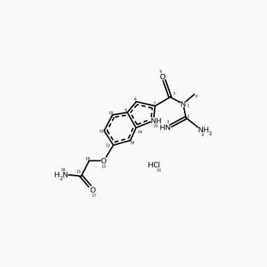 CN(C(=N)N)C(=O)c1cc2ccc(OCC(N)=O)cc2[nH]1.Cl